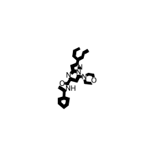 C=C/C=C(\C=C/C)c1cc2nc(C3NC(c4ccccc4)=CO3)cc(N3CCOCC3)n2n1